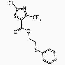 O=C(OCCSc1ccccc1)c1sc(Cl)nc1C(F)(F)F